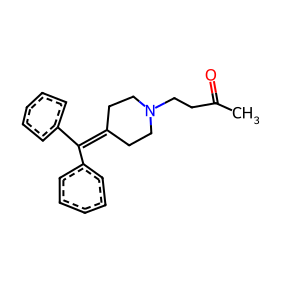 CC(=O)CCN1CCC(=C(c2ccccc2)c2ccccc2)CC1